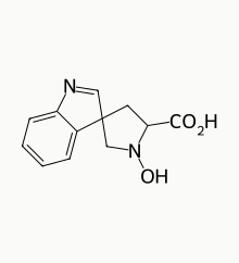 O=C(O)C1CC2(C=Nc3ccccc32)CN1O